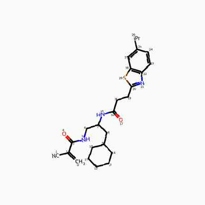 C=C(C#N)C(=O)NCC(CC1CCCCC1)NC(=O)CCc1nc2ccc(C(C)C)cc2s1